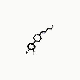 FCC/C=C/C1CCC(c2ccc(F)c(F)c2)CC1